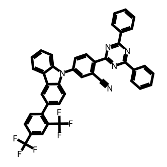 N#Cc1cc(-n2c3ccccc3c3cc(-c4ccc(C(F)(F)F)cc4C(F)(F)F)ccc32)ccc1-c1nc(-c2ccccc2)nc(-c2ccccc2)n1